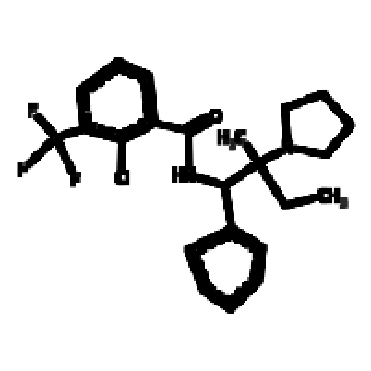 CCC(C)(C(NC(=O)c1cccc(C(F)(F)F)c1Cl)c1ccccc1)N1CCCC1